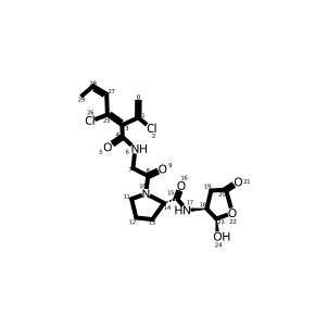 C=C(Cl)/C(C(=O)NCC(=O)N1CCC[C@H]1C(=O)N[C@H]1CC(=O)O[C@H]1O)=C(Cl)\C=C/C